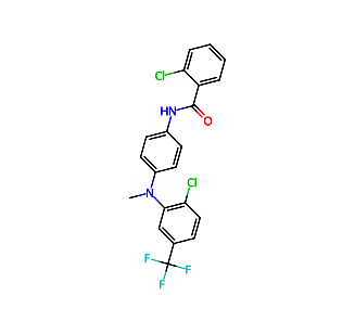 CN(c1ccc(NC(=O)c2ccccc2Cl)cc1)c1cc(C(F)(F)F)ccc1Cl